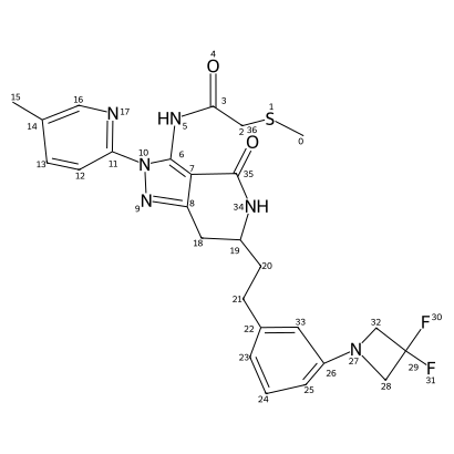 CSCC(=O)Nc1c2c(nn1-c1ccc(C)cn1)CC(CCc1cccc(N3CC(F)(F)C3)c1)NC2=O